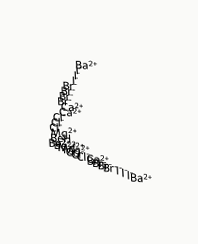 [Ba+2].[Ba+2].[Be+2].[Be+2].[BeH2].[Br-].[Br-].[Br-].[Br-].[Br-].[Br-].[Br-].[Br-].[Ca+2].[Ca+2].[Ca+2].[Cl-].[Cl-].[Cl-].[Cl-].[Cl-].[Cl-].[I-].[I-].[I-].[I-].[I-].[I-].[Mg+2].[Mg+2].[Mg+2]